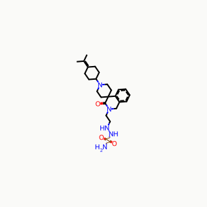 CC(C)=C1CCC(N2CCC3(CC2)C(=O)N(CCNNS(N)(=O)=O)Cc2ccccc23)CC1